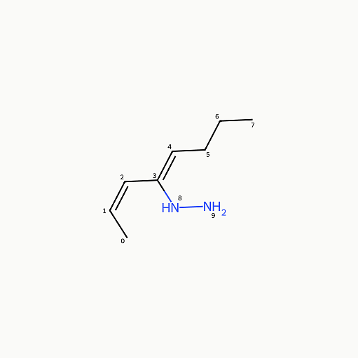 C/C=C\C(=C\CCC)NN